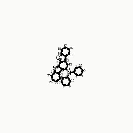 c1ccc(N(c2ccccc2)c2cc3c4ccccc4oc3c3sc4ccccc4c23)cc1